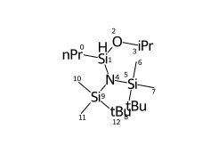 CCC[SiH](OC(C)C)N([Si](C)(C)C(C)(C)C)[Si](C)(C)C(C)(C)C